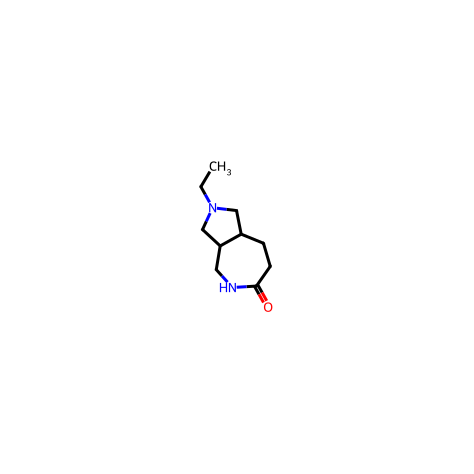 CCN1CC2CCC(=O)NCC2C1